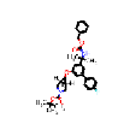 CC(C)(C)OC(=O)N1C[C@@H]2C(Oc3cc(-c4ccc(F)cc4)cc(C(C)(C)NC(=O)OCc4ccccc4)c3)[C@@H]2C1